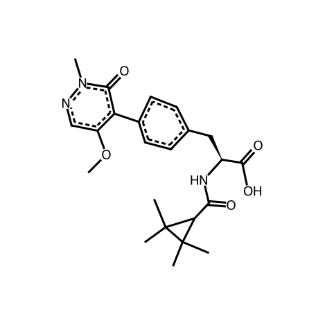 COc1cnn(C)c(=O)c1-c1ccc(C[C@H](NC(=O)C2C(C)(C)C2(C)C)C(=O)O)cc1